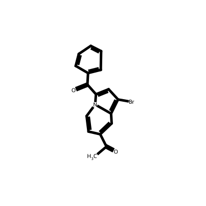 CC(=O)c1ccn2c(C(=O)c3ccccc3)cc(Br)c2c1